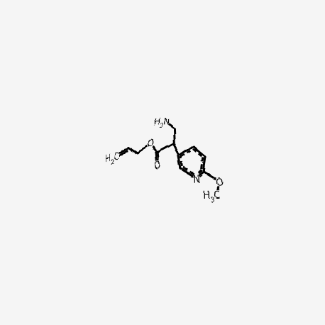 C=CCOC(=O)C(CN)c1ccc(OC)nc1